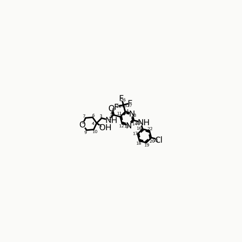 O=C(NCC1(O)CCOCC1)c1cnc(Nc2cccc(Cl)c2)nc1C(F)(F)F